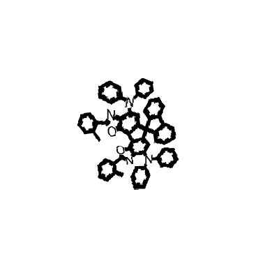 Cc1ccccc1-c1nc2c(N(c3ccccc3)c3ccccc3)cc3c(c2o1)-c1c(cc(N(c2ccccc2)c2ccccc2)c2nc(-c4ccccc4C)oc12)C31c2ccccc2-c2ccccc21